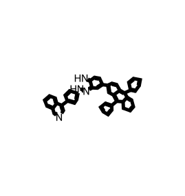 N=C1C=CC(c2ccc3c(c2)=C(c2ccccc2)C2CC=CC=C2C=3c2ccccc2)=C/C1=N/Nc1ccc(-c2cncc3ccccc23)cc1